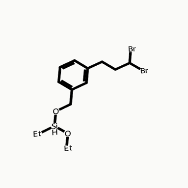 CCO[SiH](CC)OCc1cccc(CCC(Br)Br)c1